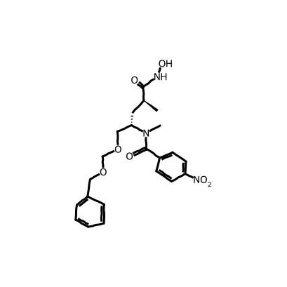 C[C@@H](C[C@@H](COCOCc1ccccc1)N(C)C(=O)c1ccc([N+](=O)[O-])cc1)C(=O)NO